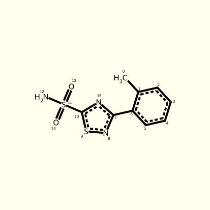 Cc1ccccc1-c1nsc(S(N)(=O)=O)n1